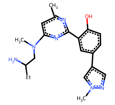 CCC(N)CN(C)c1cc(C)nc(-c2cc(-c3cnn(C)c3)ccc2O)n1